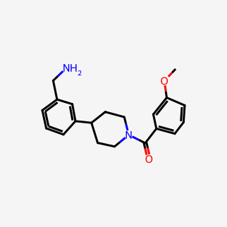 COc1cccc(C(=O)N2CCC(C3=CC(CN)=C=C=C3)CC2)c1